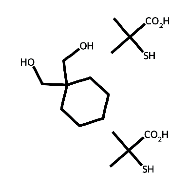 CC(C)(S)C(=O)O.CC(C)(S)C(=O)O.OCC1(CO)CCCCC1